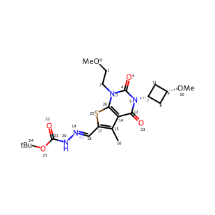 COCCn1c(=O)n([C@H]2C[C@@H](OC)C2)c(=O)c2c(C)c(/C=N/NC(=O)OC(C)(C)C)sc21